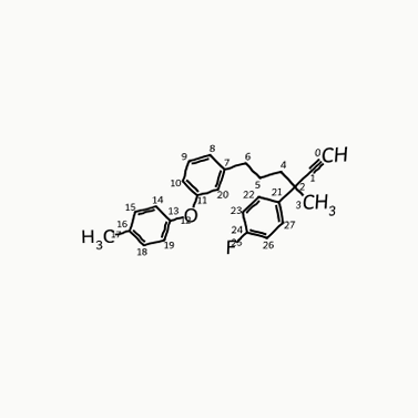 C#CC(C)(CCCc1cccc(Oc2ccc(C)cc2)c1)c1ccc(F)cc1